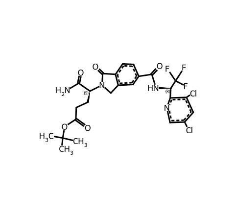 CC(C)(C)OC(=O)CC[C@@H](C(N)=O)N1Cc2cc(C(=O)N[C@H](c3ncc(Cl)cc3Cl)C(F)(F)F)ccc2C1=O